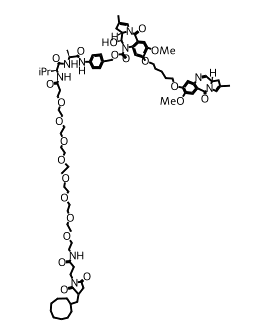 COc1cc2c(cc1OCCCCCOc1cc3c(cc1OC)C(=O)N1C=C(C)C[C@H]1[C@H](O)N3C(=O)OCc1ccc(NC(=O)[C@H](C)NC(=O)[C@@H](NC(=O)CCOCCOCCOCCOCCOCCOCCOCCOCCNC(=O)CCN3C(=O)CC(CC4CCCCCCCC4)C3=O)C(C)C)cc1)N=C[C@@H]1CC(C)=CN1C2=O